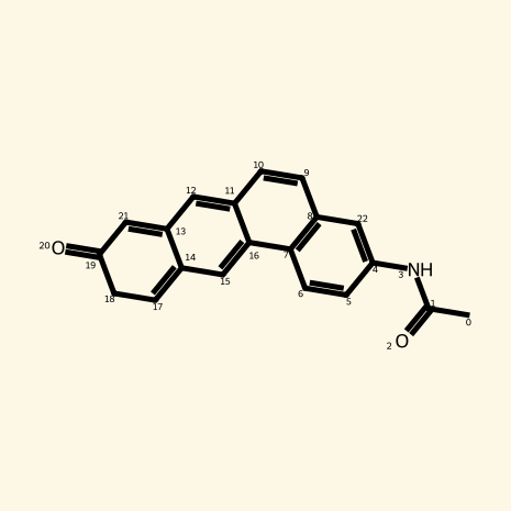 CC(=O)Nc1ccc2c(ccc3cc4c(cc32)=CCC(=O)C=4)c1